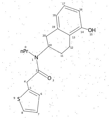 CCCN(C(=O)Cc1cccs1)C1CCc2c(O)cccc2C1